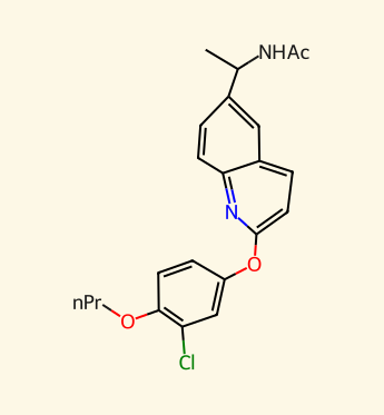 CCCOc1ccc(Oc2ccc3cc(C(C)NC(C)=O)ccc3n2)cc1Cl